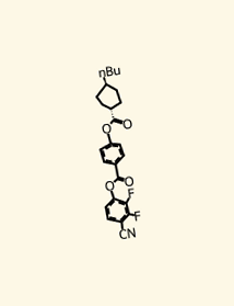 CCCC[C@H]1CC[C@H](C(=O)Oc2ccc(C(=O)Oc3ccc(C#N)c(F)c3F)cc2)CC1